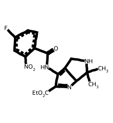 CCOC(=O)C1=NC2C(=C1NC(=O)c1ccc(F)cc1[N+](=O)[O-])CNC2(C)C